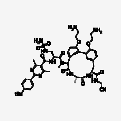 Cc1nc(-c2ccc(C(C)(C)C)cc2)nc(C)c1C(=O)N[C@@H](CNS(N)(=O)=O)C(=O)N(C)[C@@H]1C(=O)N[C@@H](C)C(=O)N[C@H](C(=O)NCC#N)Cc2ccc(OCCN)c(c2)-c2cc1ccc2OCCN